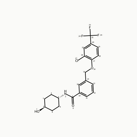 O=C(N[C@H]1CC[C@H](O)CC1)c1cccc(COc2ccc(C(F)(F)F)cc2Cl)c1